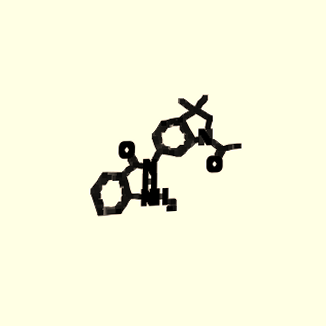 CC(=O)N1CC(C)(C)c2ccc(NC(=O)c3ccccc3N)cc21